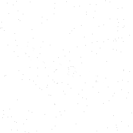 CC(C)(C)OC(=O)NNc1ccc(-n2nnc(C(=O)NCc3ccn(-c4cc5c(cc4C(F)(F)F)[nH]c(=O)c(=O)n5CC(=O)O)c3)n2)cc1